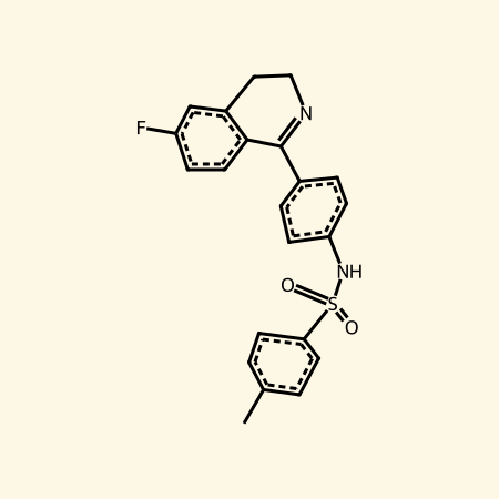 Cc1ccc(S(=O)(=O)Nc2ccc(C3=NCCc4cc(F)ccc43)cc2)cc1